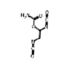 NC(=O)OC(CN=C=O)N=C=O